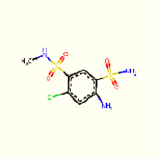 CNS(=O)(=O)c1cc(S(N)(=O)=O)c(N)cc1Cl